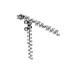 CCCCCCCCC=CCCCCCCCC(=O)OCOC(=O)C(CCCCCCC=CCCCCCCCC)CCCN1CCCC1